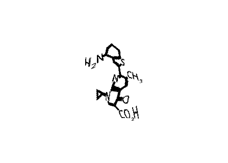 Cc1cc2c(=O)c(C(=O)O)cn(C3CC3)c2nc1-c1cc2c(s1)CCCC2N